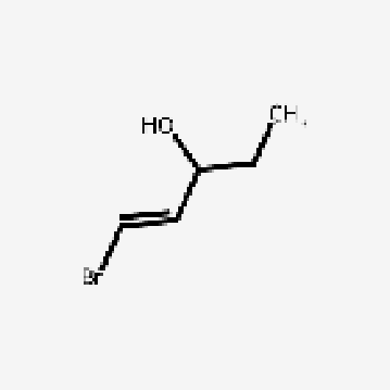 CCC(O)/C=C/Br